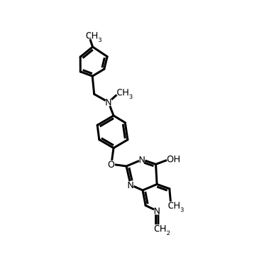 C=N/C=c1/nc(Oc2ccc(N(C)Cc3ccc(C)cc3)cc2)nc(O)/c1=C/C